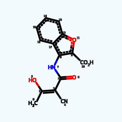 CC(O)=C(C#N)C(=O)Nc1c(C(=O)O)oc2ccccc12